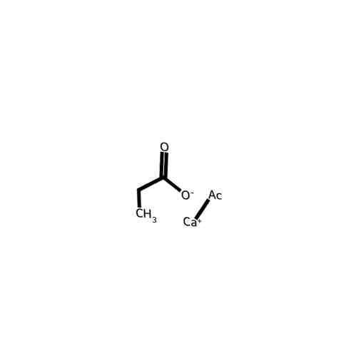 CCC(=O)[O-].C[C](=O)[Ca+]